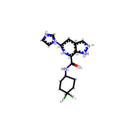 O=C(NC1CCC(F)(F)CC1)c1nc(-n2ccnc2)cc2cn[nH]c12